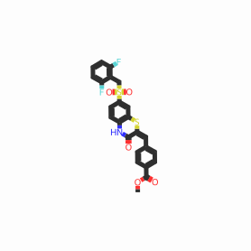 COC(=O)c1ccc(/C=C2/Sc3cc(S(=O)(=O)Cc4c(F)cccc4F)ccc3NC2=O)cc1